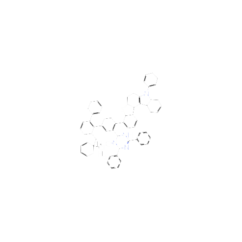 CN1C(C2=C(C3=CC=CC4C3SC3CCC5=C(C6CC=CCC6N5C5=CCCC=C5)C34)CCC(C3=C(C4=CC=CCC4)C=CCC3CC3(C)C=CC=CC3)=C2)NC(c2ccccc2)=NC1c1ccccc1